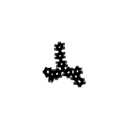 CC1(C)c2ccccc2-c2cc(N(c3ccc(-c4ccc(-c5ccccc5)cc4)cc3)c3ccc(-c4cc5ccccc5c5ccccc45)cc3)ccc21